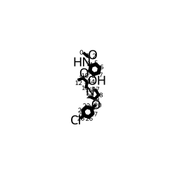 CC(=O)Nc1ccccc1OC(C)C(O)CN1CCC(Oc2ccc(Cl)cc2)C1